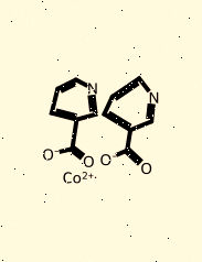 O=C([O-])c1cccnc1.O=C([O-])c1cccnc1.[Co+2]